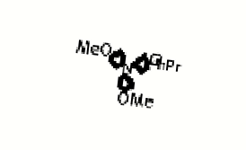 CCCOc1ccc(N(c2ccc(OC)cc2)c2ccc(OC)cc2)cc1